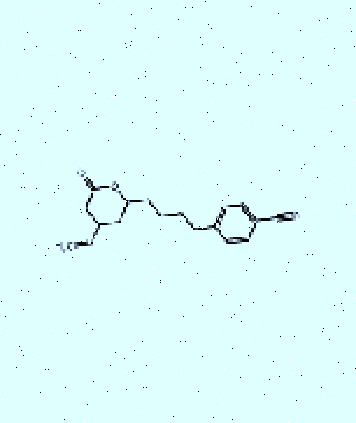 C=CC1CC(=O)OC(CCCCc2ccc(C#N)cc2)C1